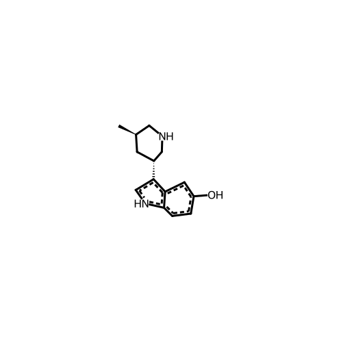 C[C@H]1CNC[C@H](c2c[nH]c3ccc(O)cc23)C1